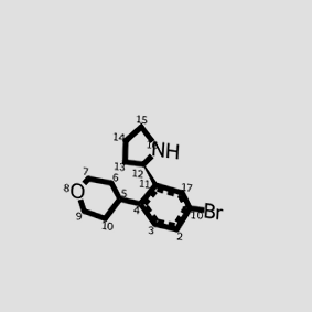 Brc1ccc(C2CCOCC2)c([C@H]2CCCN2)c1